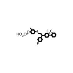 Cc1cc(SC/C=C(\c2ccc(F)cc2)c2ccc(-c3ccccc3C(F)(F)F)cc2)ccc1OCC(=O)O